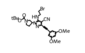 COc1cc(C#Cc2nn(C3CCN(C(=O)OC(C)(C)C)C3)c(NCCBr)c2C#N)cc(OC)c1